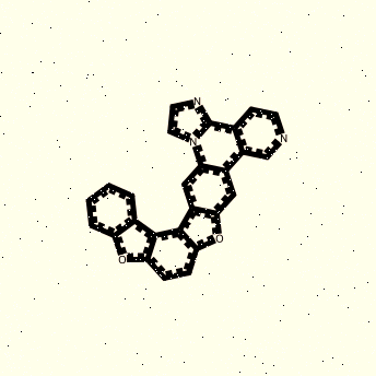 c1ccc2c(c1)oc1ccc3oc4cc5c6cnccc6c6nccn6c5cc4c3c12